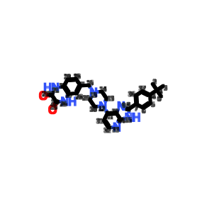 CC(C)(C)c1ccc(-c2nc3c(N4CCN(Cc5ccc6[nH]c(=O)c(=O)[nH]c6c5)CC4)ccnc3[nH]2)cc1